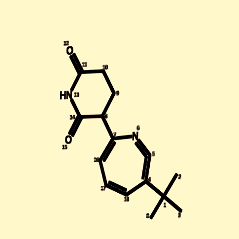 CC(C)(C)C1=C=NC(C2CCC(=O)NC2=O)=CC=C1